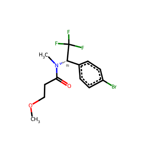 COCCC(=O)N(C)[C@@H](c1ccc(Br)cc1)C(F)(F)F